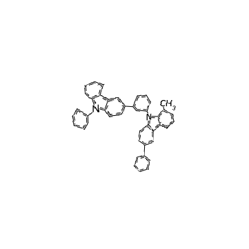 Cc1cccc2c3cc(-c4ccccc4)ccc3n(-c3cccc(-c4ccc5c(c4)c4ccccc4n5-c4ccccc4)c3)c12